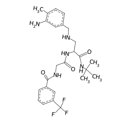 Cc1ccc(CNCC(NC(=O)CNC(=O)c2cccc(C(F)(F)F)c2)C(=O)NC(C)(C)C)cc1N